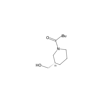 CCC(C)C(=O)N1CCC[C@H](CO)C1